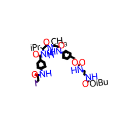 CC(C)COC(=O)NCCNC(=O)OCc1ccc(NC(=O)[C@H](C)NC(=O)[C@@H](NC(=O)c2ccc(NC(=O)CI)cc2)C(C)C)cc1